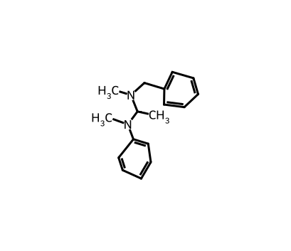 C[C](N(C)Cc1ccccc1)N(C)c1ccccc1